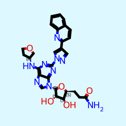 NC(=O)CC[C@@H]1O[C@@H](n2cnc3c(N[C@@H]4CCOC4)nc(-n4cc(-c5ccc6ccccc6n5)cn4)nc32)[C@@H](O)[C@@H]1O